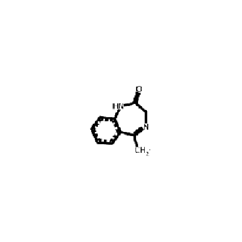 [CH2]C1=NCC(=O)Nc2ccccc21